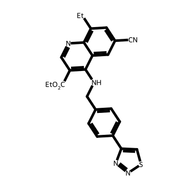 CCOC(=O)c1cnc2c(CC)cc(C#N)cc2c1NCc1ccc(-c2csnn2)cc1